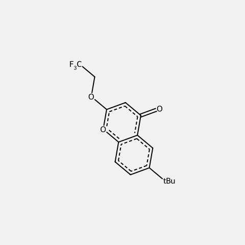 CC(C)(C)c1ccc2oc(OCC(F)(F)F)cc(=O)c2c1